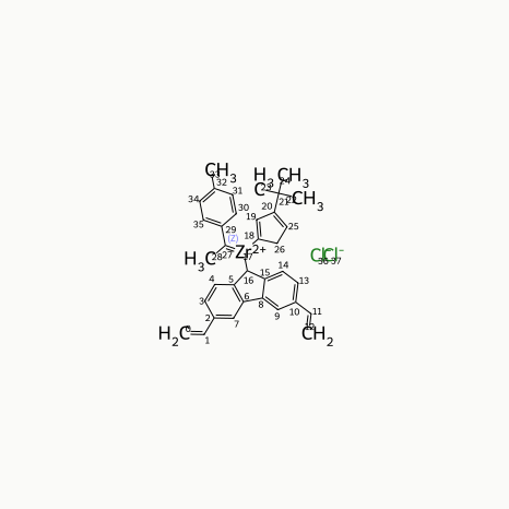 C=Cc1ccc2c(c1)-c1cc(C=C)ccc1[CH]2/[Zr+2]([C]1=CC(C(C)(C)C)=CC1)=[C](\C)c1ccc(C)cc1.[Cl-].[Cl-]